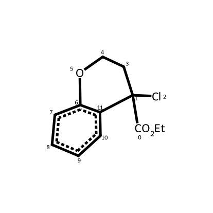 CCOC(=O)C1(Cl)CCOc2ccccc21